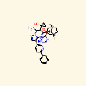 Nc1c(C2(O)CC2)c([C@@H]2C[C@H]3CC[C@@H](C2)N3C(=O)c2nc[nH]n2)nc2c(-c3ccc(-c4ccccc4)nc3)cnn12